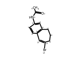 CC(=O)Nc1ccc2c(c1)CCCC(Br)=C2